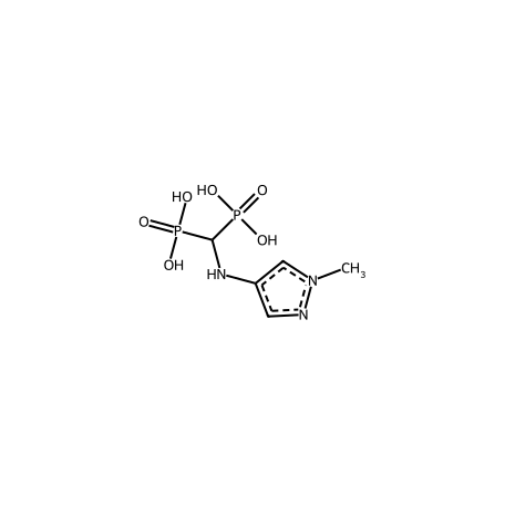 Cn1cc(NC(P(=O)(O)O)P(=O)(O)O)cn1